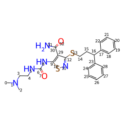 CN(C)CCNC(=O)Nc1snc(SCCC(c2ccccc2)c2ccccc2)c1C(N)=O